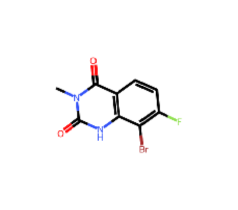 Cn1c(=O)[nH]c2c(Br)c(F)ccc2c1=O